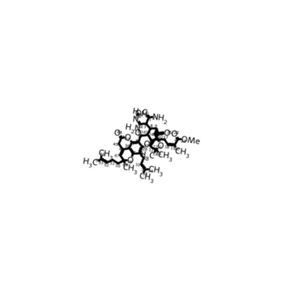 C=C(N)C(/C(N)=N\O)C1C2CC3C(C)(C)OC(C/C=C(/C)C(=O)OC)(C2=O)C32Oc3c(CC=C(C)C)c4c5c(c3C(=O)C12)OC(=O)CC5=CC(C)(CCC=C(C)C)O4